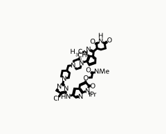 CNC(=O)COc1cc2cc(Nc3nc(N4CCC(CN5CCN(c6cccc7c(C8CCC(=O)NC8=O)nn(C)c67)[C@H](C)C5)CC4)ncc3Cl)cnc2n(C(C)C)c1=O